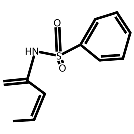 C=C(/C=C\C)NS(=O)(=O)c1ccccc1